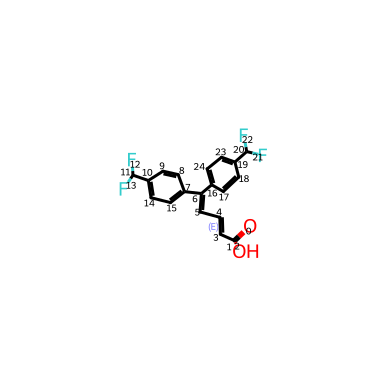 O=C(O)/C=C/C=C(c1ccc(C(F)F)cc1)c1ccc(C(F)F)cc1